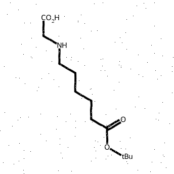 CC(C)(C)OC(=O)CCCCCNCC(=O)O